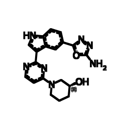 Nc1nnc(-c2ccc3[nH]cc(-c4nccc(N5CCC[C@H](O)C5)n4)c3c2)o1